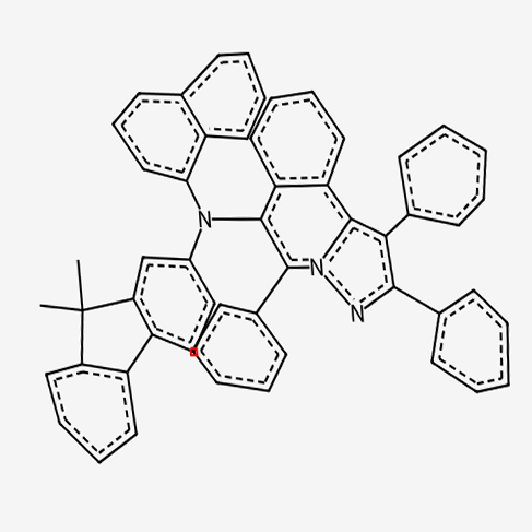 CC1(C)c2ccccc2-c2ccc(N(c3cccc4ccccc34)c3c(-c4ccccc4)n4nc(-c5ccccc5)c(-c5ccccc5)c4c4ccccc34)cc21